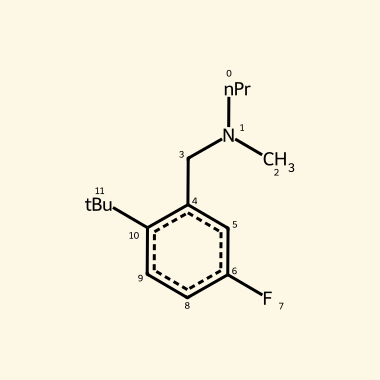 CCCN(C)Cc1cc(F)ccc1C(C)(C)C